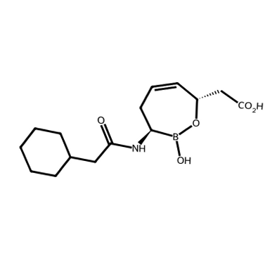 O=C(O)C[C@H]1C=CC[C@H](NC(=O)CC2CCCCC2)B(O)O1